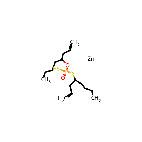 C=CCC(CCCC)OP(=O)(S)SC(CC=C)CCCC.[Zn]